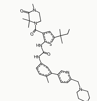 CCC(C)(C)c1cc(C(=O)N2CCN(C)C(=O)C2(C)C)c(NC(=O)Nc2ccc(C)c(-c3ccc(CN4CCOCC4)nc3)c2)s1